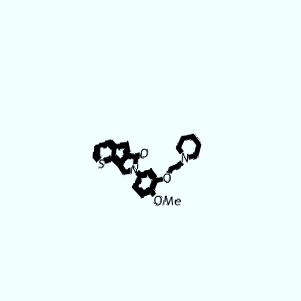 COc1ccc(N2Cc3c(cc4cccsc3-4)C2=O)cc1OCCN1CCCCC1